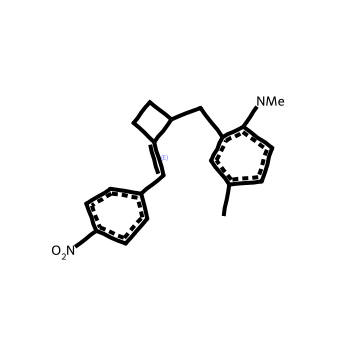 CNc1ccc(C)cc1CC1CC/C1=C\c1ccc([N+](=O)[O-])cc1